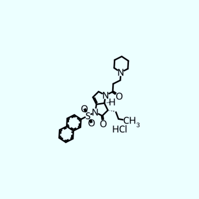 CCC[C@@H]1C(=O)N(S(=O)(=O)c2ccc3ccccc3c2)C2=CCN(C(=O)CCN3CCCCC3)[C@H]21.Cl